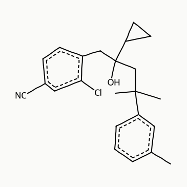 Cc1cccc(C(C)(C)CC(O)(Cc2ccc(C#N)cc2Cl)C2CC2)c1